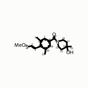 COS/C=C/c1c(C)cc(C(=O)N2CCC(C)(O)CC2)cc1C